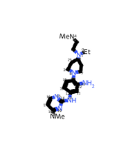 CCN(CCNC)C1CCN(c2ccc(Nc3nccc(NC)n3)cc2N)CC1